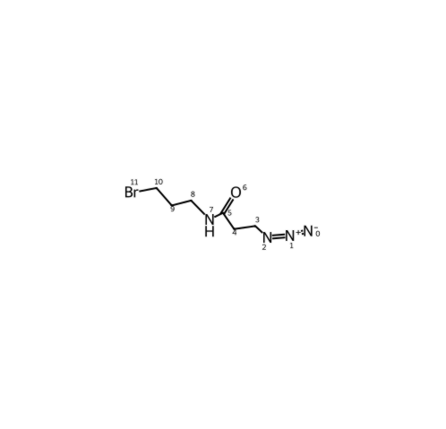 [N-]=[N+]=NCCC(=O)NCCCBr